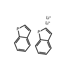 [Li+].[Li+].c1ccc2[p-]ccc2c1.c1ccc2[p-]ccc2c1